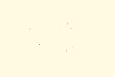 C[C@@H]1Cc2c([nH]c3ccccc23)C(c2c(F)cc([C@H](O)CCN3CC(CF)C3)cc2F)N1CC(F)(F)F